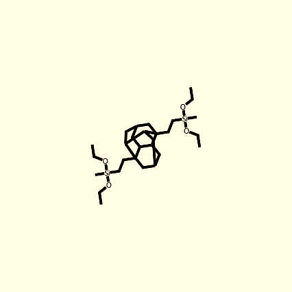 CCO[Si](C)(CCC12CC3CC4C1CC1CC2C(C3)C4(CC[Si](C)(OCC)OCC)C1)OCC